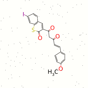 COc1ccc(C=CC(=O)CC(=O)c2cc3ccc(I)cc3sc2=O)cc1